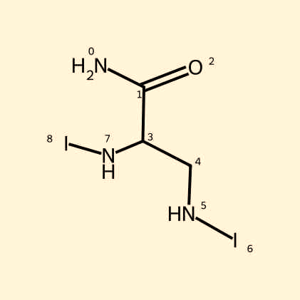 NC(=O)C(CNI)NI